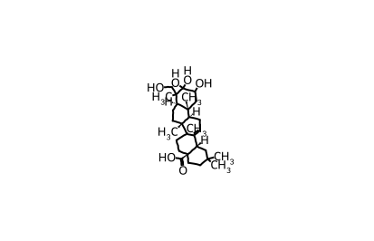 CC1(C)CC[C@]2(C(=O)O)CC[C@]3(C)C(=CC[C@@H]4[C@@]5(C)CC(O)C(O)(O)C(C)(CO)[C@@H]5CC[C@]43C)[C@@H]2C1